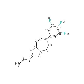 C=CCC1CC2CCC(c3cc(F)c(F)c(F)c3)CCC2C1